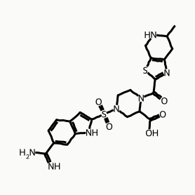 CC1Cc2nc(C(=O)N3CCN(S(=O)(=O)c4cc5ccc(C(=N)N)cc5[nH]4)CC3C(=O)O)sc2CN1